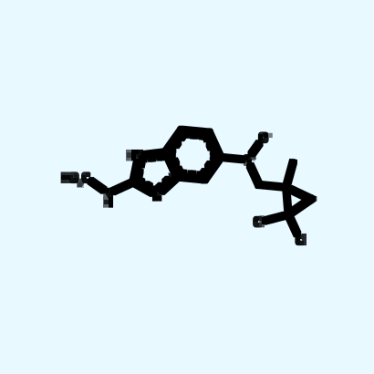 CC1(C[S+]([O-])c2ccc3[nH]c(NC(=O)O)nc3c2)CC1(Cl)Cl